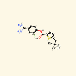 CCC(CC)(Cc1ccc(C(=O)Oc2ccc(C(N)N)cc2F)s1)C(=O)O